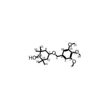 COc1cc(COC2CC(C)(C)N(O)C(C)(C)C2)cc(OC)c1OC